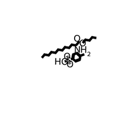 CCCCCCCCCCC(N)C(=O)OCCCC.Cc1ccc(S(=O)(=O)O)cc1